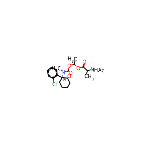 CC(=O)NC(C)C(=O)OC(C)OC(=O)N(C)[C@@]1(c2ccccc2Cl)CCCCC1=O